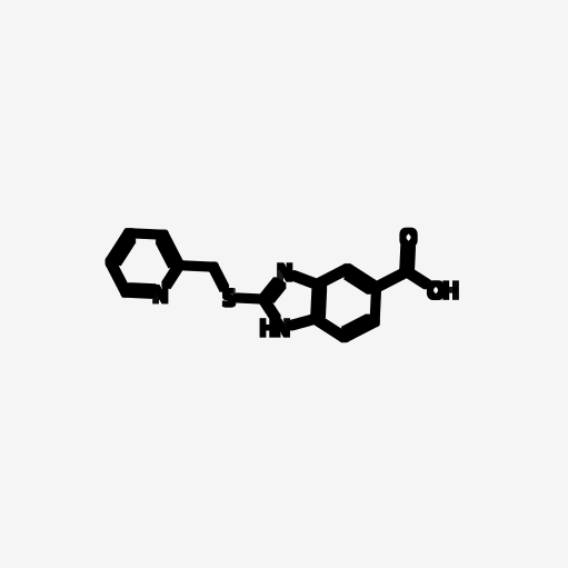 O=C(O)c1ccc2[nH]c(SCc3ccccn3)nc2c1